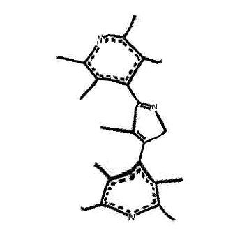 CC1=C(c2c(C)c(C)nc(C)c2C)CN=C1c1c(C)c(C)nc(C)c1C